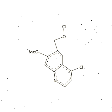 COc1cc2nccc(Cl)c2cc1COCl